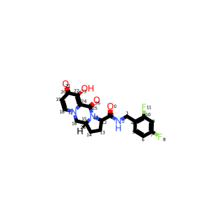 O=C(NCc1ccc(F)cc1F)C1CC[C@@H]2Cn3ccc(=O)c(O)c3C(=O)N12